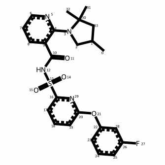 CC1CN(c2ncccc2C(=O)NS(=O)(=O)c2cccc(Oc3cccc(F)c3)n2)C(C)(C)C1